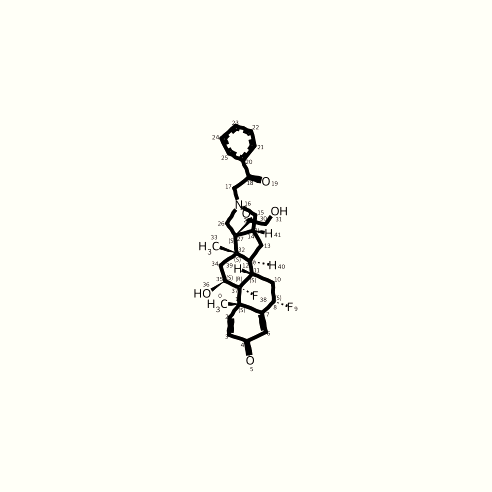 C[C@]12C=CC(=O)C=C1[C@@H](F)C[C@H]1[C@@H]3C[C@H]4CN(CC(=O)c5ccccc5)C[C@@]4(C(=O)CO)[C@@]3(C)C[C@H](O)[C@@]12F